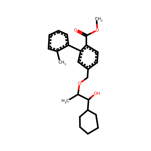 COC(=O)c1ccc(COC(C)C(O)C2CCCCC2)cc1-c1ccccc1C